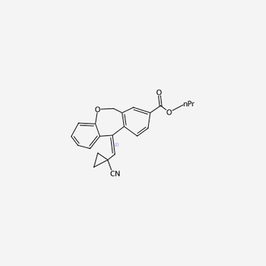 CCCOC(=O)c1ccc2c(c1)COc1ccccc1/C2=C\C1(C#N)CC1